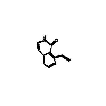 C=Cc1cccc2cc[nH]c(=O)c12